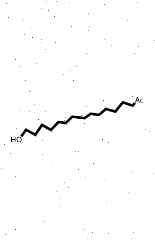 CC(=O)CCCCCCCCCCCCCCO